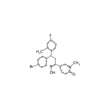 Cc1cc(F)ccc1C(CC(=NO)c1ccc(=O)n(C)c1)c1ccc(Br)cc1